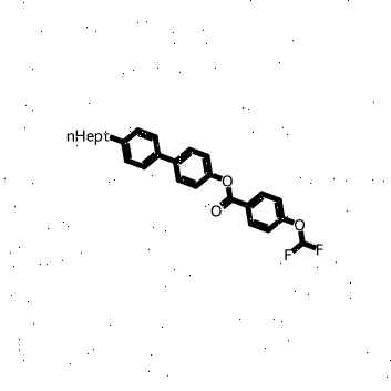 CCCCCCCc1ccc(-c2ccc(OC(=O)c3ccc(OC(F)F)cc3)cc2)cc1